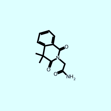 CC1(C)C(=O)N(CC(N)=O)C(=O)c2ccccc21